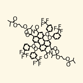 CC(C)C(=O)OCCOC(=O)C(C)N1C(=O)c2cc(Oc3cccc(C(F)(F)F)c3)c3c4c(Oc5cccc(C(F)(F)F)c5)cc5c6c(cc(Oc7cccc(C(F)(F)F)c7)c(c7c(Oc8cccc(C(F)(F)F)c8)cc(c2c37)C1=O)c64)C(=O)N(C(C)C(=O)OCCOC(=O)C(C)C)C5=O